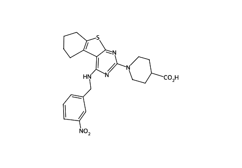 O=C(O)C1CCN(c2nc(NCc3cccc([N+](=O)[O-])c3)c3c4c(sc3n2)CCCC4)CC1